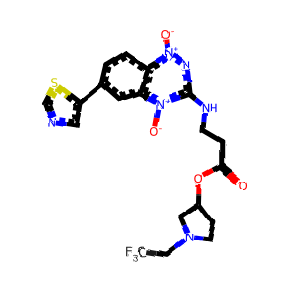 O=C(CCNc1n[n+]([O-])c2ccc(-c3cncs3)cc2[n+]1[O-])OC1CCN(CC(F)(F)F)C1